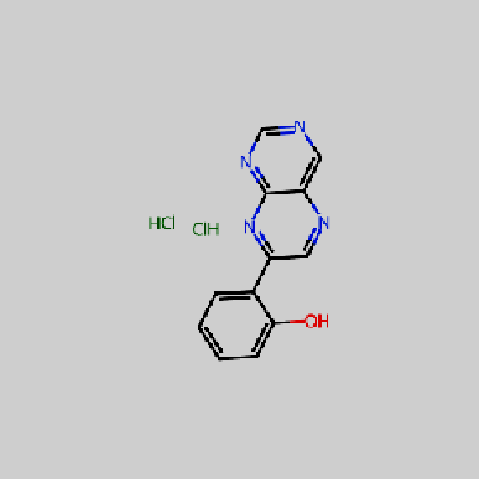 Cl.Cl.Oc1ccccc1-c1cnc2cncnc2n1